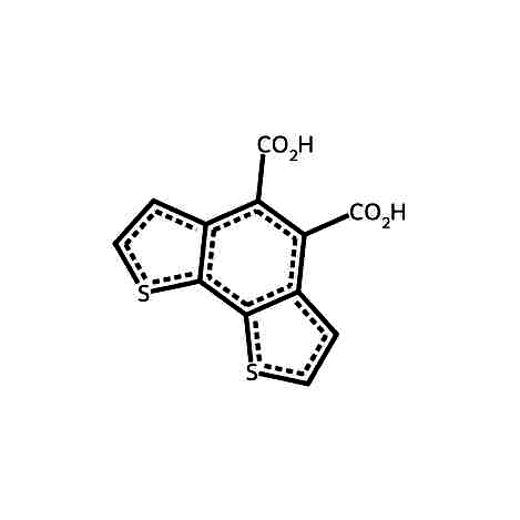 O=C(O)c1c(C(=O)O)c2ccsc2c2sccc12